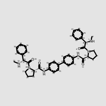 CN[C@@H](C(=O)N1CCC[C@H]1C(=O)Nc1ccc(-c2ccc(NC(=O)[C@@H]3CCCN3C(=O)[C@H](NC)c3ccccc3)cc2)cc1)c1ccccc1